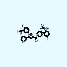 O=C1Nc2ccc(F)cc2C2(CCN(C(=O)c3cc(-c4cccnc4)n(-c4ccc(F)c(C(F)(F)F)c4)n3)CC2)O1